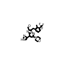 Cc1c(Cc2c(C=O)nc3c(-c4c[nH]cn4)cc(N4CCOCC4)nn23)cccc1C(F)(F)F